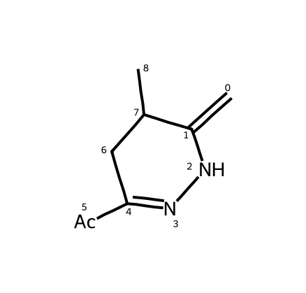 C=C1NN=C(C(C)=O)CC1C